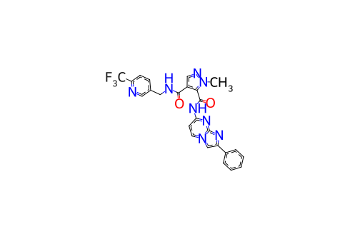 Cn1ncc(C(=O)NCc2ccc(C(F)(F)F)nc2)c1C(=O)Nc1ccn2cc(-c3ccccc3)nc2n1